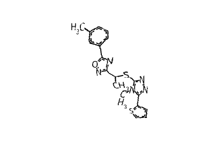 Cc1cccc(-c2nc(C(C)Sc3nnc(-c4cccs4)n3C)no2)c1